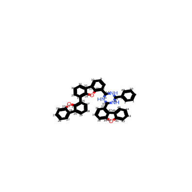 c1ccc(C2NC(c3cccc4c3oc3c(-c5cccc6c5oc5ccccc56)cccc34)NC(c3cccc4oc5ccccc5c34)N2)cc1